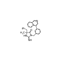 CC(C)CC1(C)NC(=N)N(Cc2cccc(-c3cncc4ccccc34)c2)C1=O